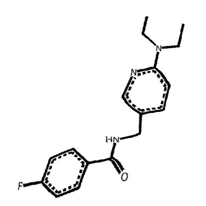 CCN(CC)c1ccc(CNC(=O)c2ccc(F)cc2)cn1